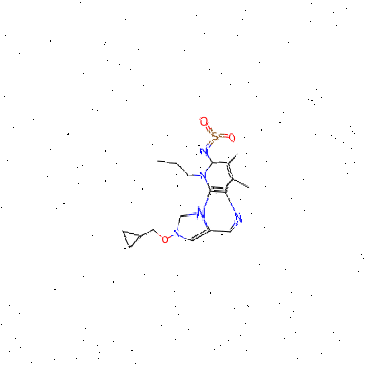 CCCN1C2=C(N=CC3=CN(OCC4CC4)CN32)C(C)=C(C)C1N=S(=O)=O